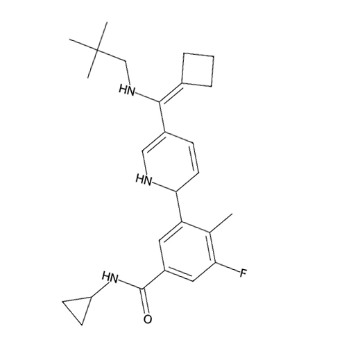 Cc1c(F)cc(C(=O)NC2CC2)cc1C1C=CC(C(NCC(C)(C)C)=C2CCC2)=CN1